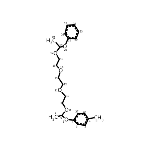 Cc1ccc(OC(C)OCCOCCOCCOC(C)Oc2ccccc2)cc1